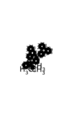 CC(C)(C)c1c(-c2cccc(N(c3ccc(-c4ccccc4-c4ccccc4)cc3)c3cc4ccccc4c4ccccc34)c2)oc2ccccc12